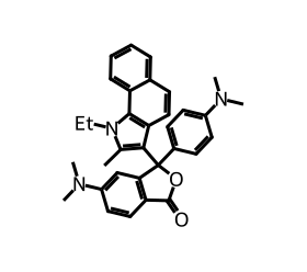 CCn1c(C)c(C2(c3ccc(N(C)C)cc3)OC(=O)c3ccc(N(C)C)cc32)c2ccc3ccccc3c21